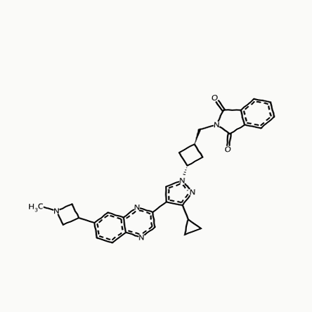 CN1CC(c2ccc3ncc(-c4cn([C@H]5C[C@H](CN6C(=O)c7ccccc7C6=O)C5)nc4C4CC4)nc3c2)C1